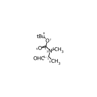 C[C@H](C=O)N(C)C(=O)OC(C)(C)C